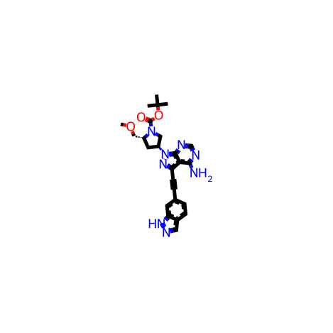 COC[C@H]1C[C@H](n2nc(C#Cc3ccc4cn[nH]c4c3)c3c(N)ncnc32)CN1C(=O)OC(C)(C)C